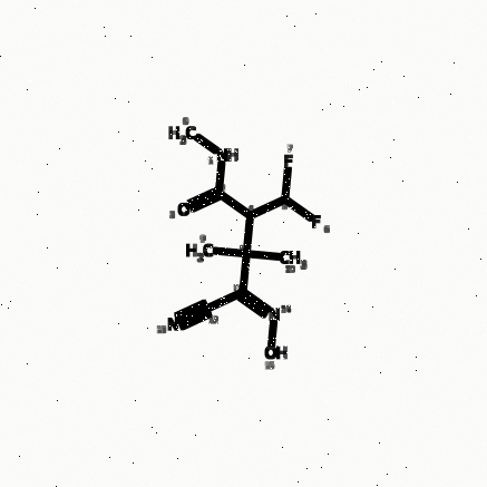 CNC(=O)C(C(F)F)C(C)(C)C(C#N)=NO